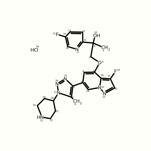 Cc1c(-c2cc(OCC(C)(O)c3ccc(F)cn3)c3c(F)cnn3c2)nnn1C1CCNCC1.Cl